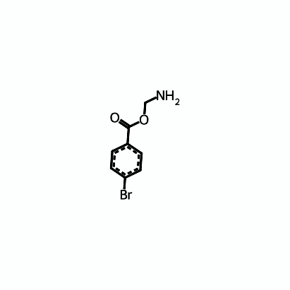 NCOC(=O)c1ccc(Br)cc1